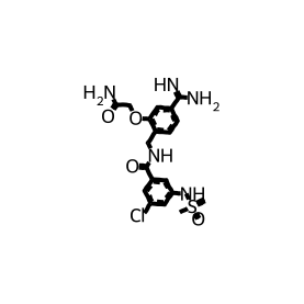 C=S(C)(=O)Nc1cc(Cl)cc(C(=O)NCc2ccc(C(=N)N)cc2OCC(N)=O)c1